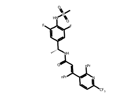 CCC/C(=C\C(=O)N[C@H](C)c1cc(F)c(NS(C)(=O)=O)c(F)c1)c1ccc(C(F)(F)F)nc1CCC